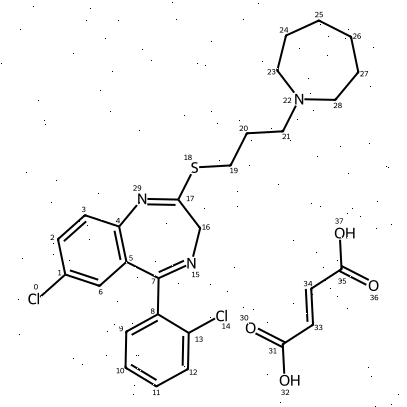 Clc1ccc2c(c1)C(c1ccccc1Cl)=NCC(SCCCN1CCCCCC1)=N2.O=C(O)C=CC(=O)O